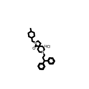 CC1CCC(CN2CCC3(CCN(CCC(c4ccccc4)c4ccccc4)CC3)C2=O)CC1.Cl